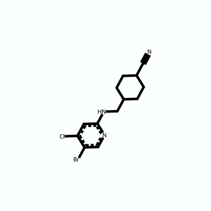 N#CC1CCC(CNc2cc(Cl)c(Br)cn2)CC1